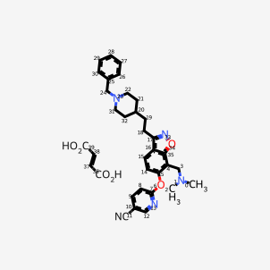 CN(C)Cc1c(Oc2ccc(C#N)cn2)ccc2c(CCC3CCN(Cc4ccccc4)CC3)noc12.O=C(O)/C=C/C(=O)O